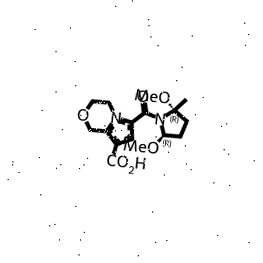 CO[C@@H]1CC[C@@](C)(OC)N1C(=O)c1cc(C(=O)O)c2n1CCOC2